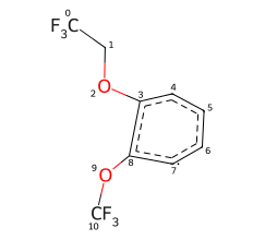 FC(F)(F)COc1ccc[c]c1OC(F)(F)F